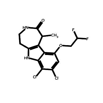 CC1C(=O)NCCc2[nH]c3c(Cl)c(Cl)cc(OCC(F)F)c3c21